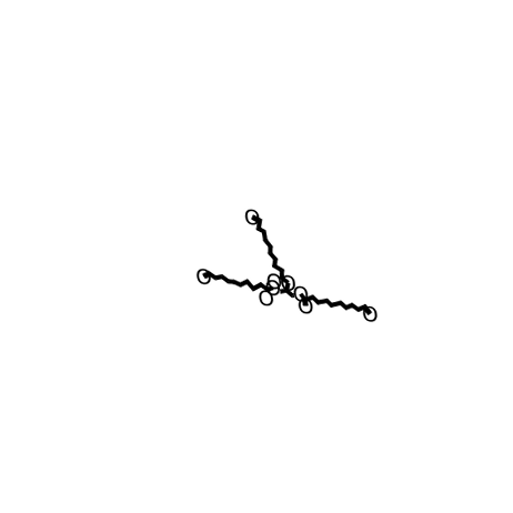 O=CCCCCCCCCC(=O)OCC(COC(=O)CCCCCCCCC=O)OC(=O)CCCCCCCCC=O